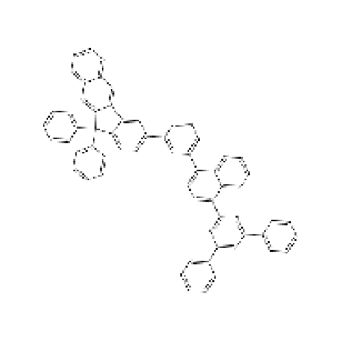 c1ccc(-c2cc(-c3ccccc3)nc(-c3ccc(-c4cccc(-c5ccc6c(c5)-c5cc7ccccc7cc5C6(c5ccccc5)c5ccccc5)c4)c4ccccc34)n2)cc1